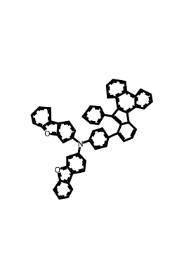 C1=CC2C(=C(c3ccccc3)c3c2c2ccccc2c2ccccc32)C(c2ccc(N(c3ccc4c(c3)oc3ccccc34)c3ccc4c(c3)oc3ccccc34)cc2)=C1